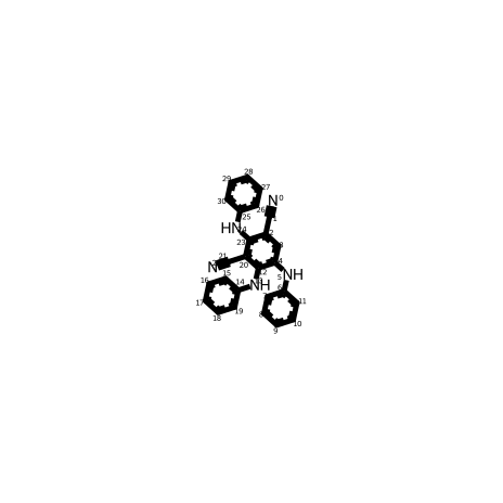 N#Cc1cc(Nc2ccccc2)c(Nc2ccccc2)c(C#N)c1Nc1ccccc1